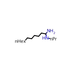 CCCCCCCCCCCC(N)NCCC